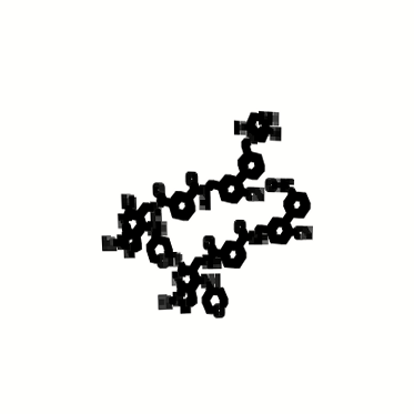 CCc1nc2c(cnn2CC)c(NC2CCOCC2)c1CNC(=O)c1cccc(C(=O)NCc2ccc(C#N)c(-c3cccc(C=O)c3)c2)c1.CCc1nc2c(cnn2CC)c(NC2CCOCC2)c1CNC(=O)c1cccc(C(=O)NCc2ccc(C#N)c(-c3cccc(CN4C[C@@H]5C[C@H]4CN5)c3)c2)c1